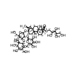 C=C1C[C@@]23CC[C@H]4[C@@](C)(CCC[C@@]4(C)C(=O)OC[C@@H](O)[C@H](O)[C@@H](O)CO)[C@@H]2CC[C@]1(O[C@@H]1O[C@H](CO)[C@@H](O)[C@H](O[C@@H]2O[C@H](CO)[C@@H](O)[C@H](O)[C@H]2O)[C@H]1O[C@@H]1O[C@H](CO)[C@@H](O)[C@H](O)[C@H]1O)C3